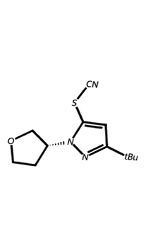 CC(C)(C)c1cc(SC#N)n([C@@H]2CCOC2)n1